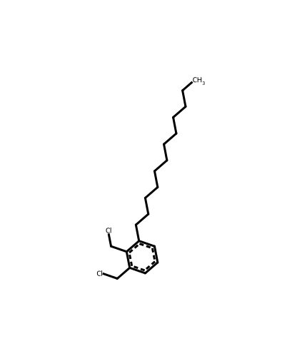 CCCCCCCCCCCCc1cccc(CCl)c1CCl